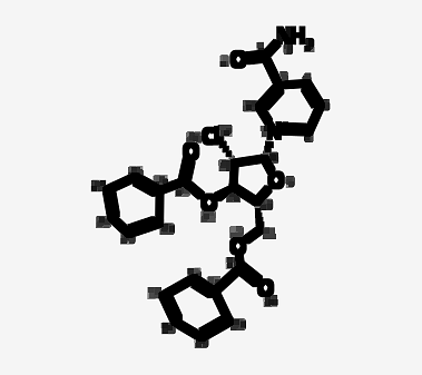 NC(=O)c1ccc[n+]([C@@H]2O[C@H](COC(=O)c3ccccc3)[C@@H](OC(=O)c3ccccc3)[C@@H]2Cl)c1